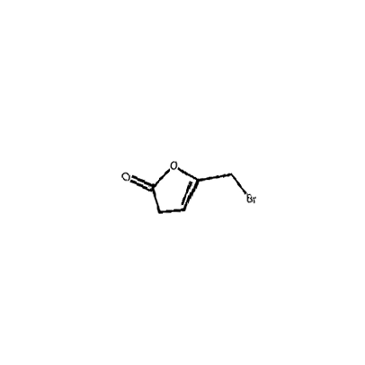 O=C1CC=C(CBr)O1